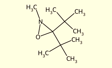 CN1OC1(C(C)(C)C)C(C)(C)C